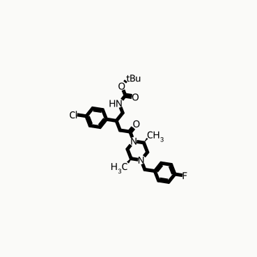 C[C@@H]1CN(Cc2ccc(F)cc2)[C@@H](C)CN1C(=O)CC(CNC(=O)OC(C)(C)C)c1ccc(Cl)cc1